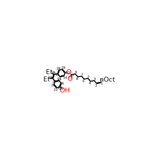 CCCCCCCC/C=C\CCCCCCCC(=O)Oc1ccc(C(CC)=C(CC)c2ccc(O)cc2)cc1